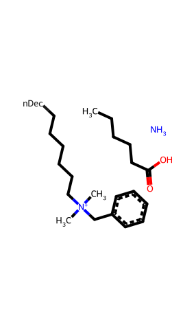 CCCCCC(=O)O.CCCCCCCCCCCCCCCC[N+](C)(C)Cc1ccccc1.N